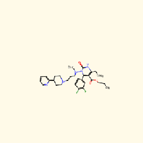 COCC1=C(C(=O)OCCC#N)C(c2ccc(F)c(F)c2)N(N(C=O)CCCN2CCC(c3ccccn3)CC2)C(=O)N1